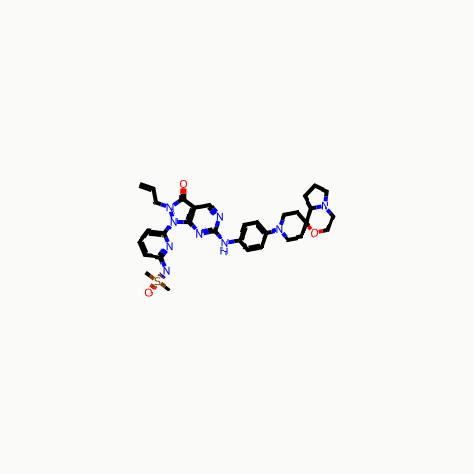 C=CCn1c(=O)c2cnc(Nc3ccc(N4CCC5(CC4)OCCN4CCCC45)cc3)nc2n1-c1cccc(N=S(C)(C)=O)n1